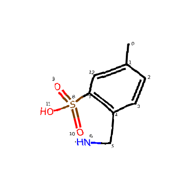 Cc1ccc(C[NH])c(S(=O)(=O)O)c1